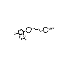 CCC[SiH]1CCC(CCCC[C@H]2CC[C@H](c3ccc(Cl)c(F)c3OC(F)F)CC2)CC1